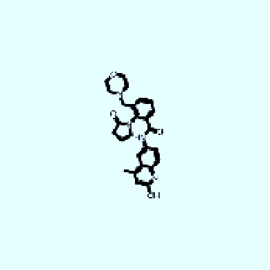 Cc1cc(O)nc2ccc(NC(=O)c3cccc(CN4CCOCC4)c3N3CCCC3=O)cc12